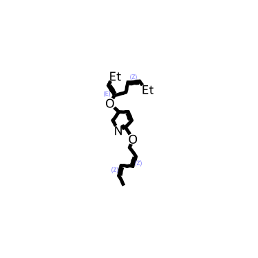 C/C=C\C=C/COC1=NCC(O/C(=C/CC)C/C=C\CC)C=C1